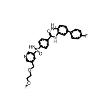 N=S(=O)(c1ccc(C(=O)Nc2cc(-c3ccc(F)cc3)ccc2N)cc1)c1cncc(COCCOI)c1